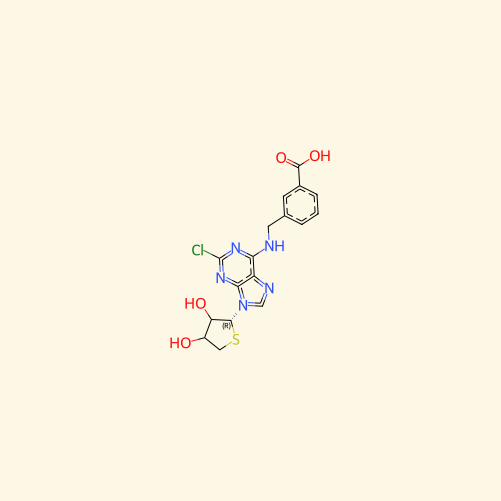 O=C(O)c1cccc(CNc2nc(Cl)nc3c2ncn3[C@@H]2SCC(O)C2O)c1